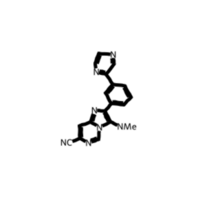 CNc1c(-c2cccc(-c3cnccn3)c2)nc2cc(C#N)ncn12